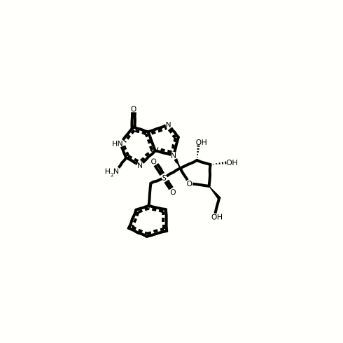 Nc1nc2c(ncn2[C@]2(S(=O)(=O)Cc3ccccc3)O[C@H](CO)[C@@H](O)[C@H]2O)c(=O)[nH]1